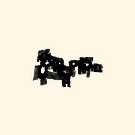 CCc1cnc(O[C@@H]2C[C@H]3C[C@@H]2N(C(=O)c2ccccc2-n2nccn2)C3)nc1